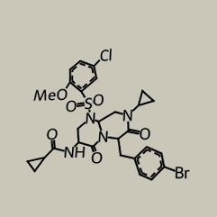 COc1ccc(Cl)cc1S(=O)(=O)N1CC(NC(=O)C2CC2)C(=O)N2C(Cc3ccc(Br)cc3)C(=O)N(C3CC3)CC21